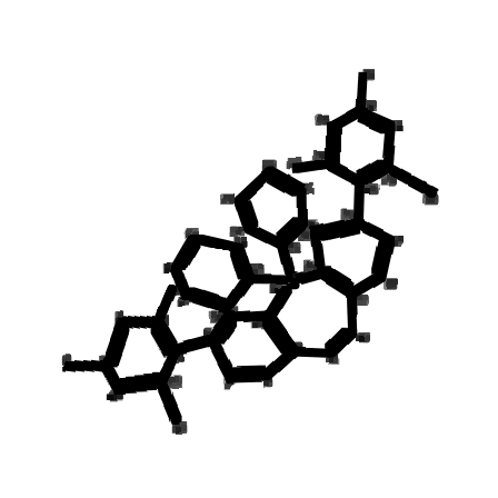 Cc1cc(C)c(-c2ccc3c(c2)S(c2ccccc2)(c2ccccc2)c2cc(-c4c(C)cc(C)cc4C)ccc2C=C3)c(C)c1